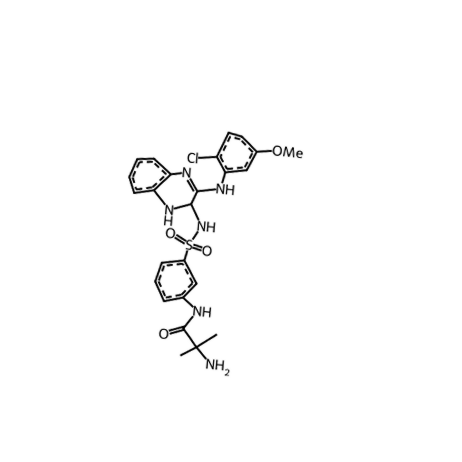 COc1ccc(Cl)c(NC2=Nc3ccccc3NC2NS(=O)(=O)c2cccc(NC(=O)C(C)(C)N)c2)c1